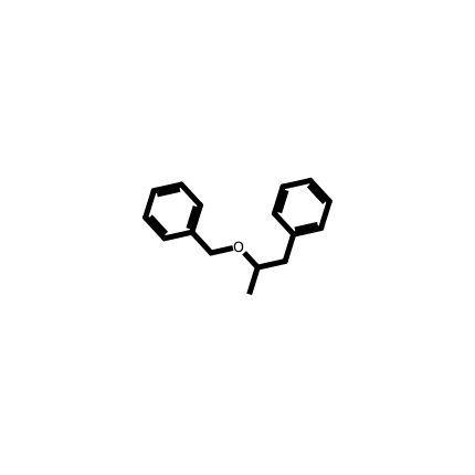 C[C](Cc1ccccc1)OCc1ccccc1